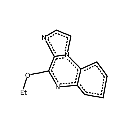 CCOc1nc2ccccc2n2ccnc12